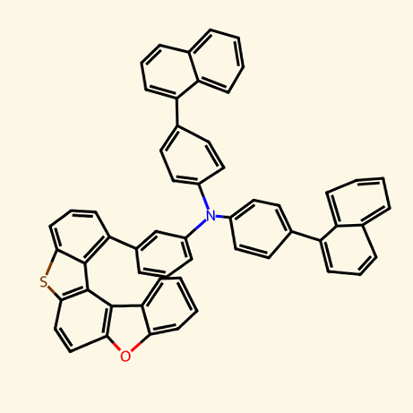 c1cc(-c2cccc3sc4ccc5oc6ccccc6c5c4c23)cc(N(c2ccc(-c3cccc4ccccc34)cc2)c2ccc(-c3cccc4ccccc34)cc2)c1